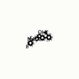 OC1CC2(CCN(c3snc4cc(F)ccc34)C2)c2ccc(-c3ccccc3C3CC3)cc21